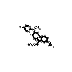 CN(c1ncc(F)cn1)C1CCc2c(CC(=O)O)c3cc(OC(F)(F)F)ccc3n2C1